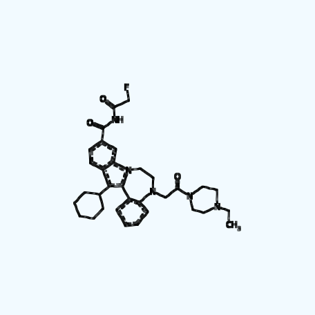 CCN1CCN(C(=O)CN2CCn3c(c(C4CCCCC4)c4ccc(C(=O)NC(=O)CF)cc43)-c3ccccc32)CC1